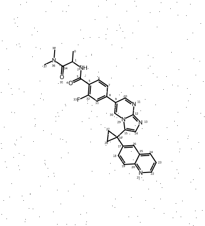 CC(NC(=O)c1ccc(-c2cnc3ncc(C4(c5ccc6ncccc6c5)CC4)n3c2)cc1F)C(=O)N(C)C